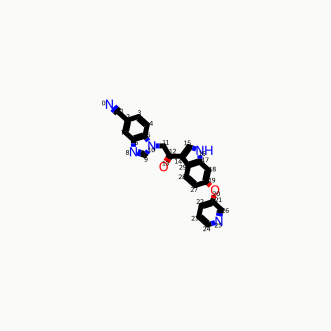 N#Cc1ccc2c(c1)ncn2CC(=O)c1c[nH]c2cc(Oc3cccnc3)ccc12